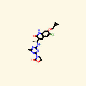 Cc1nc(N[C@@H](C)c2cc3cc(Cl)c(OCC4CC4)cc3[nH]c2=O)nc(N2CCOC2=O)n1